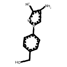 N#Cc1nn(-c2ccc(CO)cc2)cc1N